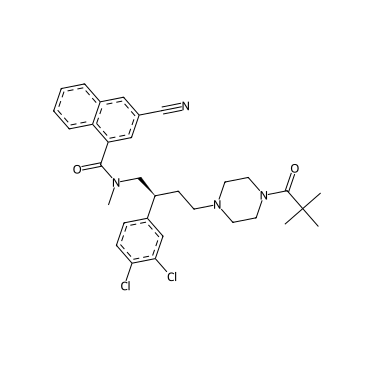 CN(C[C@@H](CCN1CCN(C(=O)C(C)(C)C)CC1)c1ccc(Cl)c(Cl)c1)C(=O)c1cc(C#N)cc2ccccc12